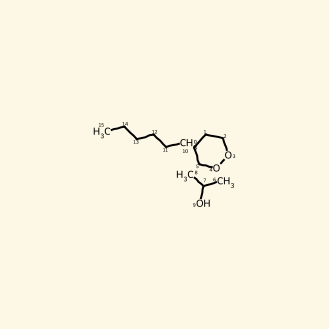 C1CCOOC1.CC(C)O.CCCCCC